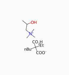 CC(O)C[N+](C)(C)C.CCCCC(CC)(C(=O)[O-])C(=O)O